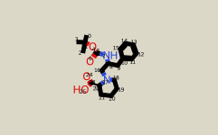 CC(C)(C)OC(=O)NC(Cc1ccccc1)CN1CCCC[C@H]1C(=O)O